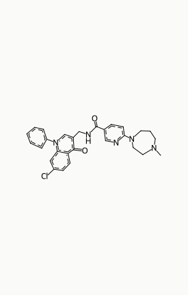 CN1CCCN(c2ccc(C(=O)NCc3cn(-c4ccccc4)c4cc(Cl)ccc4c3=O)cn2)CC1